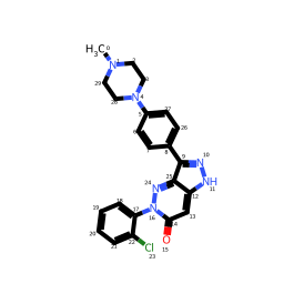 CN1CCN(c2ccc(-c3n[nH]c4cc(=O)n(-c5ccccc5Cl)nc34)cc2)CC1